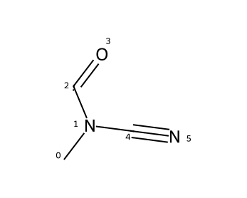 CN([C]=O)C#N